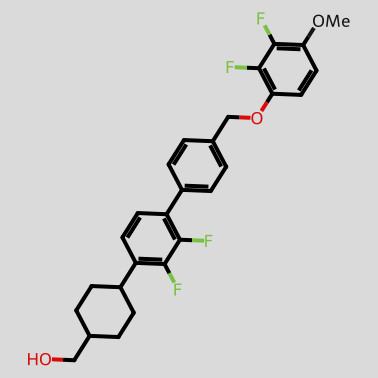 COc1ccc(OCc2ccc(-c3ccc(C4CCC(CO)CC4)c(F)c3F)cc2)c(F)c1F